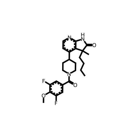 CCCCC1(C)C(=O)Nc2nccc(C3CCN(C(=O)c4cc(F)c(OC)c(F)c4)CC3)c21